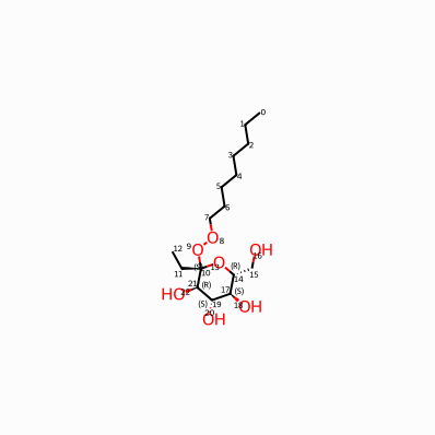 CCCCCCCCOO[C@]1(CC)O[C@H](CO)[C@@H](O)[C@H](O)[C@H]1O